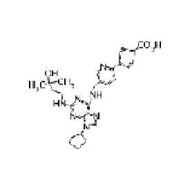 CC(C)(O)CCNc1nc(NCc2ccc(-c3ccc(C(=O)O)cc3)nc2)c2ncn(C3CCCC3)c2n1